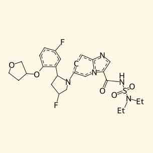 CCN(CC)S(=O)(=O)NC(=O)c1cnc2ccc(N3CC(F)CC3c3cc(F)ccc3OC3CCOC3)cn12